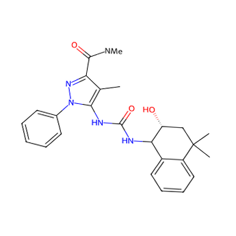 CNC(=O)c1nn(-c2ccccc2)c(NC(=O)NC2c3ccccc3C(C)(C)C[C@H]2O)c1C